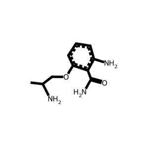 CC(N)COc1cccc(N)c1C(N)=O